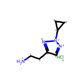 Cl.NCCc1cnn(C2CC2)n1